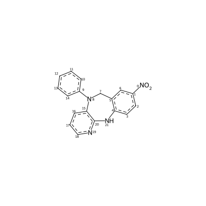 O=[N+]([O-])c1ccc2c(c1)CN(c1ccccc1)c1cccnc1N2